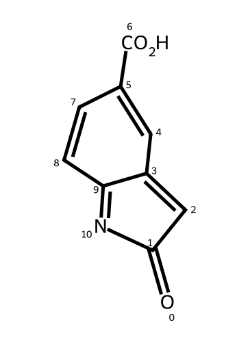 O=C1C=c2cc(C(=O)O)ccc2=N1